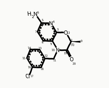 C[C@@H]1Oc2nc(N)ccc2N(Cc2cccc(Cl)c2)C1=O